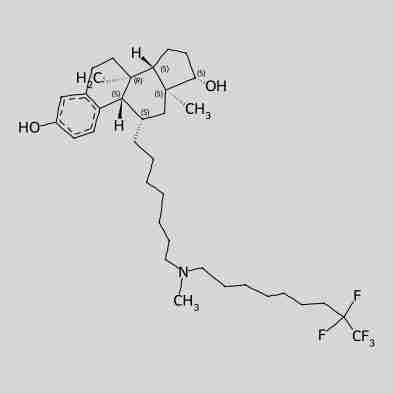 C=C[C@@]12CCc3cc(O)ccc3[C@H]1[C@@H](CCCCCCCN(C)CCCCCCCC(F)(F)C(F)(F)F)C[C@@]1(C)[C@H]2CC[C@@H]1O